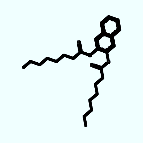 CCCCCCCC(=O)Oc1cc2ccccc2cc1OC(=O)CCCCCCC